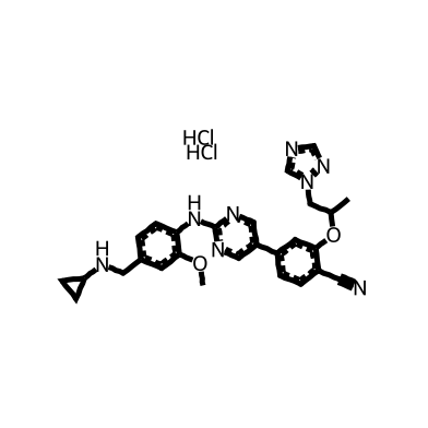 COc1cc(CNC2CC2)ccc1Nc1ncc(-c2ccc(C#N)c(OC(C)Cn3cncn3)c2)cn1.Cl.Cl